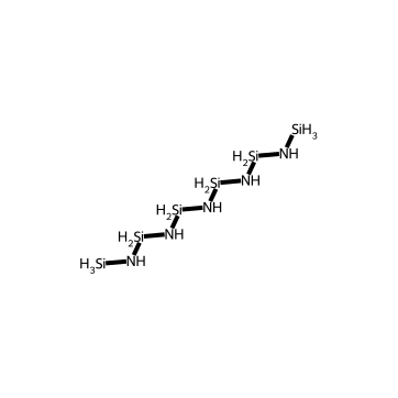 [SiH3]N[SiH2]N[SiH2]N[SiH2]N[SiH2]N[SiH3]